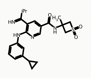 CC(C)C(=N)c1cc(C(=O)NC2(C)CS(=O)(=O)C2)cnc1Nc1cccc(C2CC2)c1